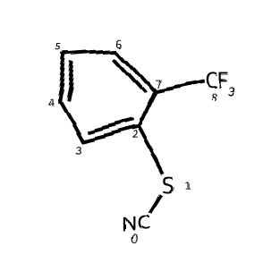 N#CSc1ccccc1C(F)(F)F